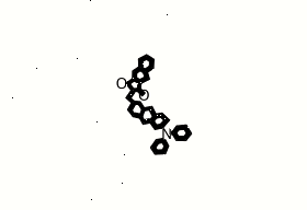 O=C1C(=CC2=CC=C3C=c4cc(N(c5ccccc5)c5ccccc5)ccc4=CC3C2)C(=O)c2cc3ccccc3cc21